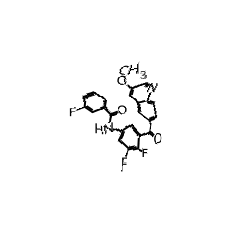 COc1cnc2ccc(C(=O)c3cc(NC(=O)c4cccc(F)c4)cc(F)c3F)cc2c1